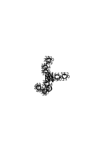 c1ccc(-c2ccc(-c3nc(-c4ccc5ccc(-c6ccccc6)cc5c4)nc(-c4ccc5c(c4)oc4cccc(-c6ccccc6)c45)n3)cc2)cc1